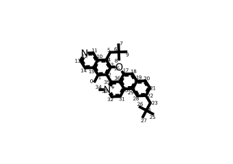 Cc1c2c(c(CC(C)(C)C)c3cnccc13)Oc1cc3ccc(CC(C)(C)C)cc3c3cc[n+](C)c-2c13